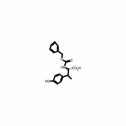 CC(c1ccc(O)cc1)[C@H](NC(=O)OCc1ccccc1)C(=O)O